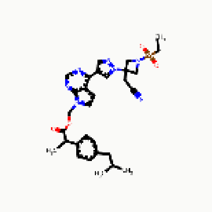 CCS(=O)(=O)N1CC(CC#N)(n2cc(-c3ncnc4c3ccn4COC(=O)C(C)c3ccc(CC(C)C)cc3)cn2)C1